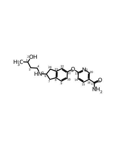 CC(O)CCNC1Cc2ccc(Oc3ccc(C(N)=O)cn3)cc2C1